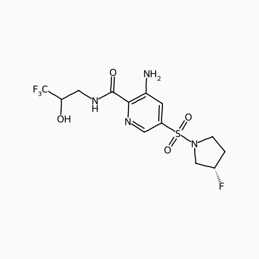 Nc1cc(S(=O)(=O)N2CC[C@H](F)C2)cnc1C(=O)NCC(O)C(F)(F)F